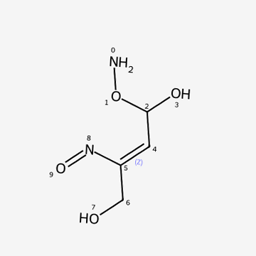 NOC(O)/C=C(/CO)N=O